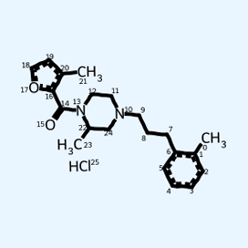 Cc1ccccc1CCCN1CCN(C(=O)c2occc2C)C(C)C1.Cl